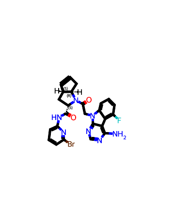 Nc1ncnc2c1c1c(F)cccc1n2CC(=O)N1[C@@H]2CC#C[C@@H]2C[C@H]1C(=O)Nc1cccc(Br)n1